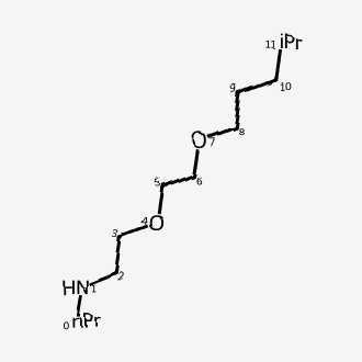 CCCNCCOCCOCCCC(C)C